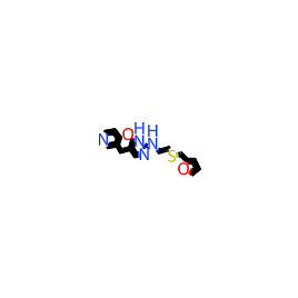 O=c1[nH]c(NCCSCc2ccco2)ncc1Cc1cccnc1